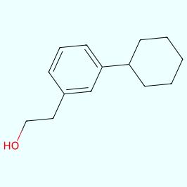 OCCc1cccc(C2CCCCC2)c1